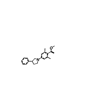 C=C(OC)c1c(C)cc(N2CCC(c3ccccc3)C2)cc1C